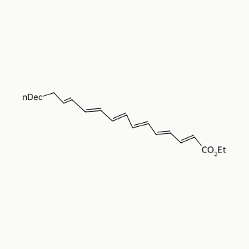 CCCCCCCCCCCC=CC=CC=CC=CC=CC=CC(=O)OCC